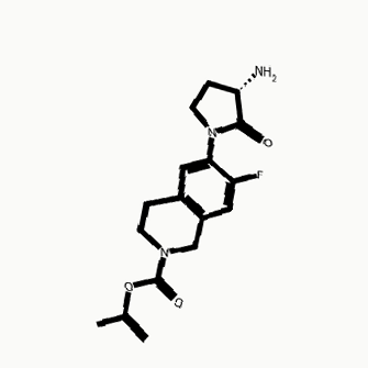 C=C(C)OC(=O)N1CCc2cc(N3CC[C@H](N)C3=O)c(F)cc2C1